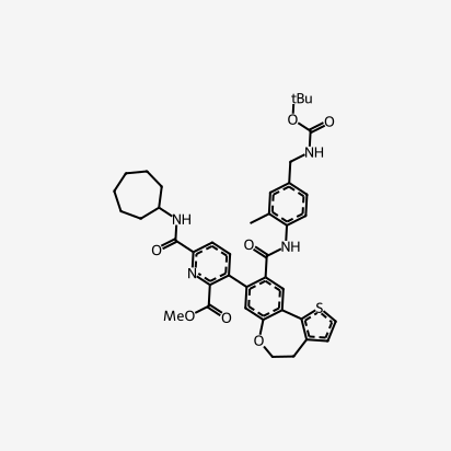 COC(=O)c1nc(C(=O)NC2CCCCCC2)ccc1-c1cc2c(cc1C(=O)Nc1ccc(CNC(=O)OC(C)(C)C)cc1C)-c1sccc1CCO2